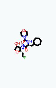 O=C(N[C@H]1[C@H](CCF)OC[C@@H]1O)[C@H](CC1CCCCCC1)NC(=O)N1CCOCC1